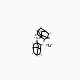 C1C2CC3CC1CC([P-]C14CC5CC(CC(C5)C1)C4)(C2)C3.[Li+]